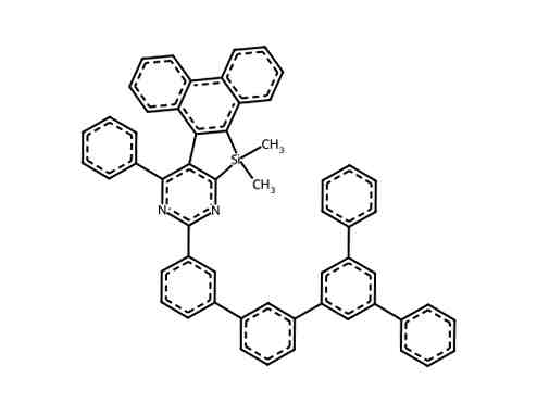 C[Si]1(C)c2nc(-c3cccc(-c4cccc(-c5cc(-c6ccccc6)cc(-c6ccccc6)c5)c4)c3)nc(-c3ccccc3)c2-c2c1c1ccccc1c1ccccc21